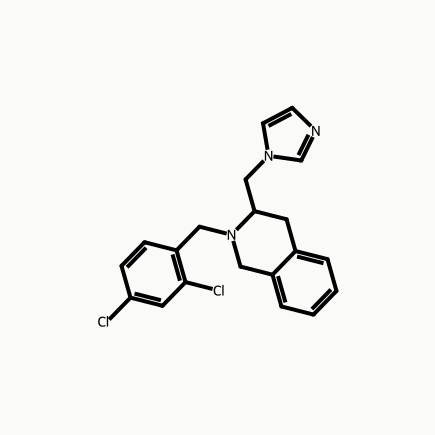 Clc1ccc(CN2Cc3ccccc3CC2Cn2ccnc2)c(Cl)c1